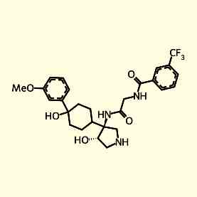 COc1cccc(C2(O)CCC([C@]3(NC(=O)CNC(=O)c4cccc(C(F)(F)F)c4)CNC[C@@H]3O)CC2)c1